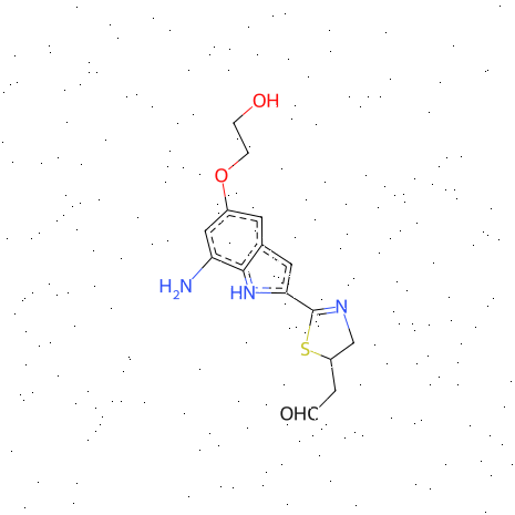 Nc1cc(OCCO)cc2cc(C3=NCC(CC=O)S3)[nH]c12